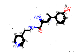 C/C(=C\C(=N)C(=O)NCCc1ccncc1)c1cccc(O)c1